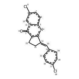 O=c1c2c(nc3ccc(Cl)cn13)C(=Cc1ccc(Cl)cc1)CC2